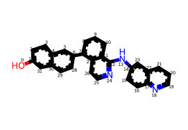 Oc1ccc2cc(-c3cccc4c(Nc5ccc6ncccc6c5)nccc34)ccc2c1